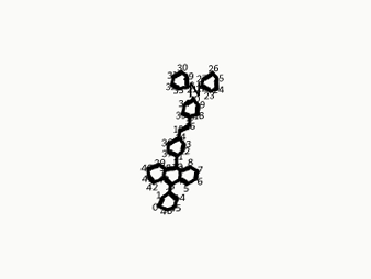 C1=CC(c2c3ccccc3c(-c3ccc(/C=C/c4ccc(N(c5ccccc5)c5ccccc5)cc4)cc3)c3ccccc23)=CCC1